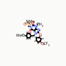 CNS(=O)(=O)Cn1c(=O)c2c(nc(Oc3cccc(OC(F)(F)F)c3)n2Cc2ccc(OC)cc2)n(C)c1=O